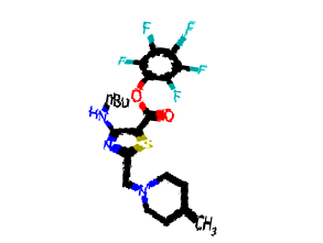 CCCCNc1nc(CN2CCC(C)CC2)sc1C(=O)Oc1c(F)c(F)c(F)c(F)c1F